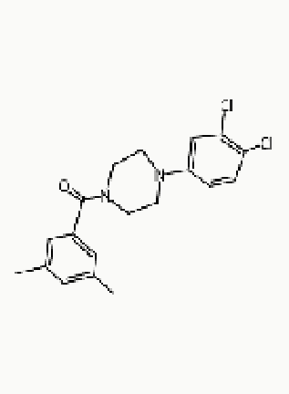 Cc1cc(C)cc(C(=O)N2CCN(c3ccc(Cl)c(Cl)c3)CC2)c1